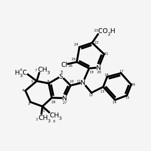 CC1(C)CCC(C)(C)c2sc(N(Cc3ccccc3)c3ncc(C(=O)O)cc3Cl)nc21